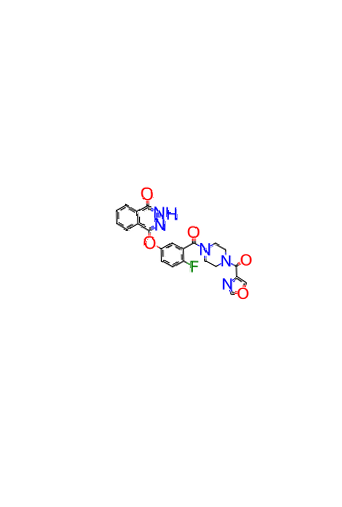 O=C(c1cocn1)N1CCN(C(=O)c2cc(Oc3n[nH]c(=O)c4ccccc34)ccc2F)CC1